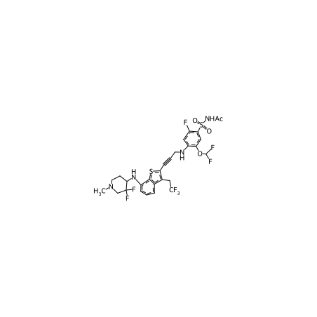 CC(=O)NS(=O)(=O)c1cc(OC(F)F)c(NCC#Cc2sc3c(NC4CCN(C)CC4(F)F)cccc3c2CC(F)(F)F)cc1F